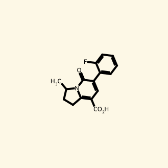 CC1CCc2c(C(=O)O)cc(-c3ccccc3F)c(=O)n21